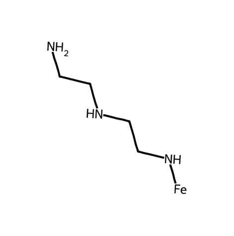 NCCNCC[NH][Fe]